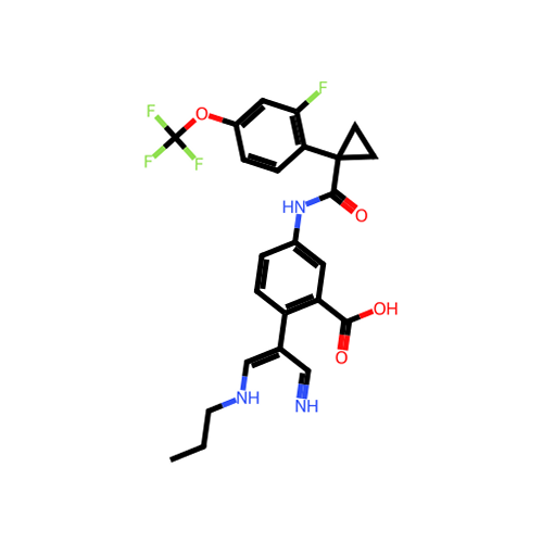 CCCN/C=C(\C=N)c1ccc(NC(=O)C2(c3ccc(OC(F)(F)F)cc3F)CC2)cc1C(=O)O